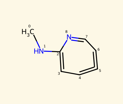 CNC1=CC=C=CC=N1